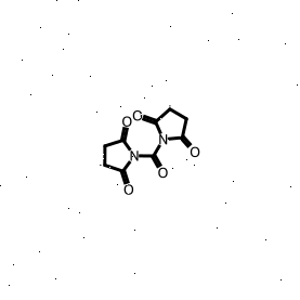 O=C1[CH]CC(=O)N1C(=O)N1C(=O)[CH]CC1=O